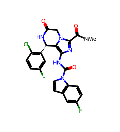 CNC(=O)c1nc(NC(=O)n2ccc3cc(F)ccc32)c2n1CC(=O)N[C@H]2c1cc(F)ccc1Cl